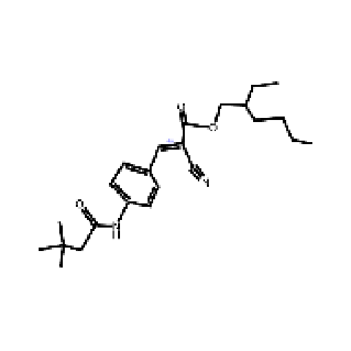 CCCCC(CC)COC(=O)/C(C#N)=C/c1ccc(NC(=O)CC(C)(C)C)cc1